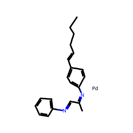 CCCCC=Cc1ccc(N=C(C)C=Nc2ccccc2)cc1.[Pd]